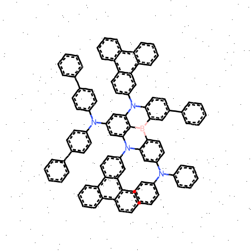 c1ccc(-c2ccc(N(c3ccc(-c4ccccc4)cc3)c3cc4c5c(c3)N(c3ccc6c7ccccc7c7ccccc7c6c3)c3cc(N(c6ccccc6)c6ccccc6)ccc3B5c3cc(-c5ccccc5)ccc3N4c3ccc4c5ccccc5c5ccccc5c4c3)cc2)cc1